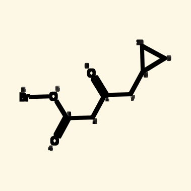 O=C(CC(=O)OBr)CC1CC1